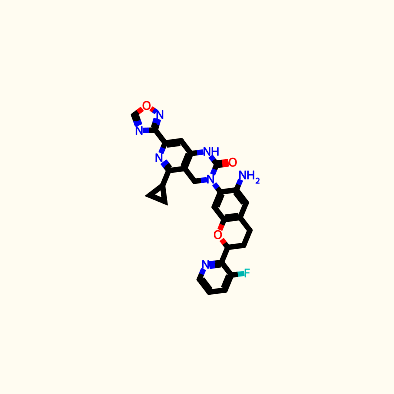 Nc1cc2c(cc1N1Cc3c(cc(-c4ncon4)nc3C3CC3)NC1=O)OC(c1ncccc1F)CC2